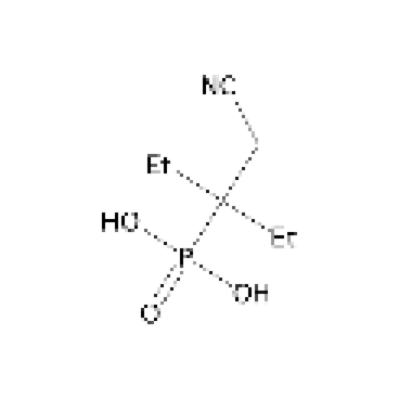 CCC(CC)(CC#N)P(=O)(O)O